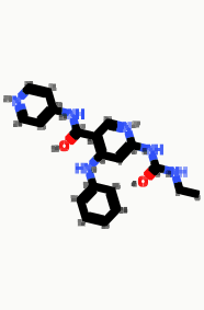 CCNC(=O)Nc1cc(Nc2ccccc2)c(C(=O)Nc2ccncc2)cn1